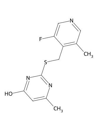 Cc1cc(O)nc(SCc2c(C)cncc2F)n1